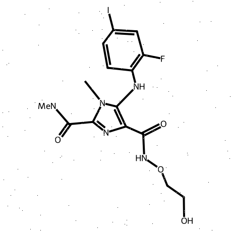 CNC(=O)c1nc(C(=O)NOCCO)c(Nc2ccc(I)cc2F)n1C